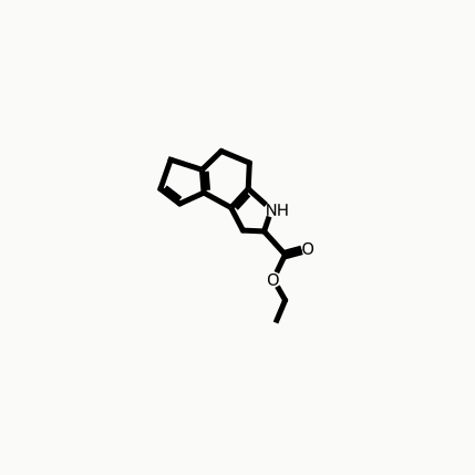 CCOC(=O)C1CC2=C(CCC3=C2C=CC3)N1